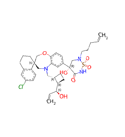 C=CCCCN1C[C@](O)(c2ccc3c(c2)N(C[C@@H]2CC[C@H]2[C@@H](O)C=C)C[C@@]2(CCCc4cc(Cl)ccc42)CO3)C(=O)NS1(=O)=O